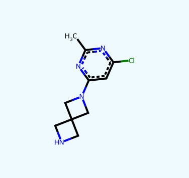 Cc1nc(Cl)cc(N2CC3(CNC3)C2)n1